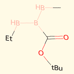 CBB(BCC)C(=O)OC(C)(C)C